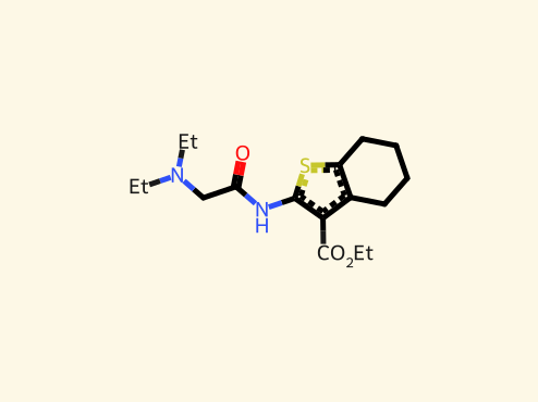 CCOC(=O)c1c(NC(=O)CN(CC)CC)sc2c1CCCC2